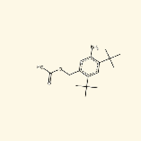 CC(C)(C)c1cc(C(C)(C)C)c(COC(=O)O)cc1N